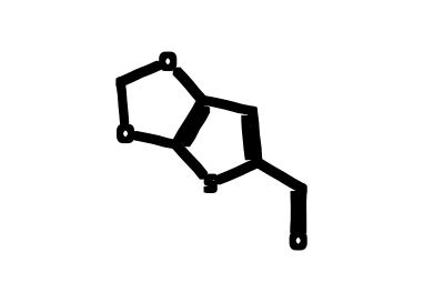 O=Cc1cc2c(s1)OCO2